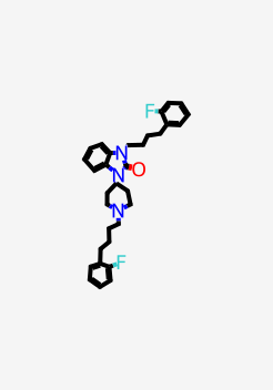 O=c1n(CCCCc2ccccc2F)c2ccccc2n1C1CCN(CCCCc2ccccc2F)CC1